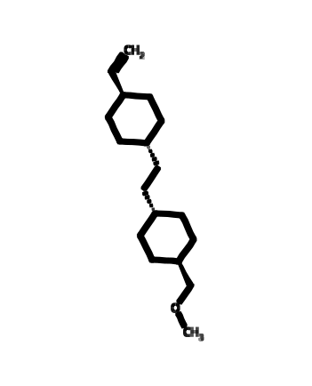 C=C[C@H]1CC[C@H](CC[C@H]2CC[C@H](COC)CC2)CC1